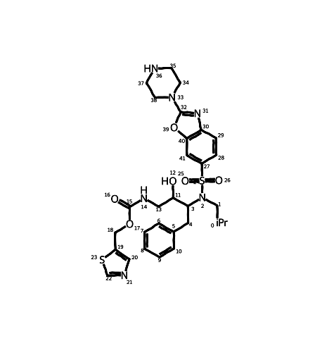 CC(C)CN(C(Cc1ccccc1)C(O)CNC(=O)OCc1cncs1)S(=O)(=O)c1ccc2nc(N3CCNCC3)oc2c1